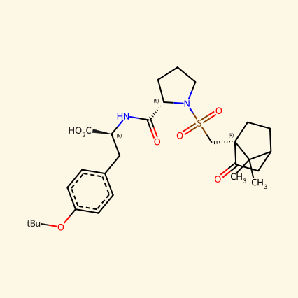 CC(C)(C)Oc1ccc(C[C@H](NC(=O)[C@@H]2CCCN2S(=O)(=O)C[C@@]23CCC(CC2=O)C3(C)C)C(=O)O)cc1